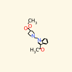 CCOC(=O)C1CCN(CCn2cc(C(C)=O)c3ccccc32)CC1